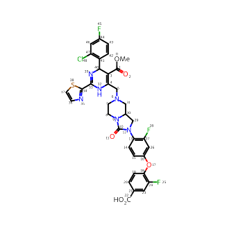 COC(=O)C1=C(CN2CCN3C(=O)N(c4ccc(Oc5ccc(C(=O)O)cc5F)cc4F)CC3C2)NC(c2nccs2)=NC1c1ccc(F)cc1Cl